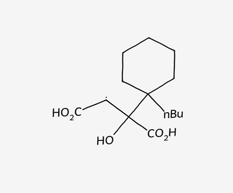 CCCCC1(C(O)([CH]C(=O)O)C(=O)O)CCCCC1